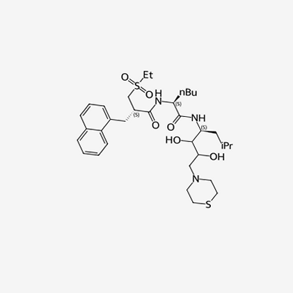 CCCC[C@H](NC(=O)[C@H](Cc1cccc2ccccc12)CS(=O)(=O)CC)C(=O)N[C@@H](CC(C)C)C(O)C(O)CN1CCSCC1